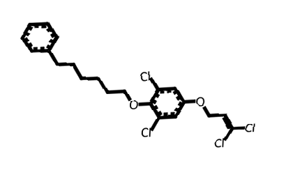 ClC(Cl)=CCOc1cc(Cl)c(OCCCCCCc2ccccc2)c(Cl)c1